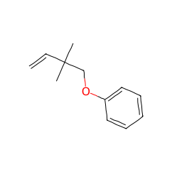 C=CC(C)(C)COc1ccccc1